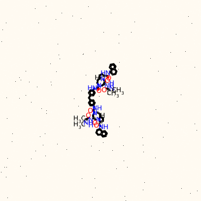 CN[C@@H](C)C(=O)N[C@H]1CN(C(=O)Nc2ccc(Cc3ccc(NC(=O)N4CC[C@H]5CC[C@@H](C(=O)N[C@@H]6CCCc7ccccc76)N5C(=O)[C@@H](NC(=O)[C@H](C)NC)C4)cc3)cc2)CC[C@H]2CC[C@@H](C(=O)N[C@@H]3CCCc4ccccc43)N2C1=O